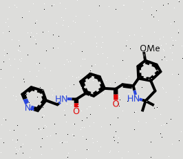 COc1ccc2c(c1)C(=CC(=O)c1cccc(C(=O)NCc3cccnc3)c1)NC(C)(C)C2